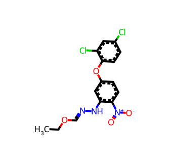 CCOC=NNc1cc(Oc2ccc(Cl)cc2Cl)ccc1[N+](=O)[O-]